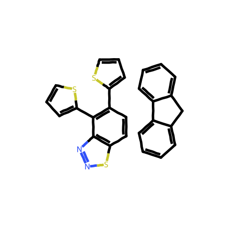 c1ccc2c(c1)Cc1ccccc1-2.c1csc(-c2ccc3snnc3c2-c2cccs2)c1